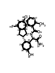 Cc1ncccc1C(=O)N([C@@H]1CCc2c(F)cc(Cl)cc21)[C@@H](C(N)=O)c1cccc(O)c1